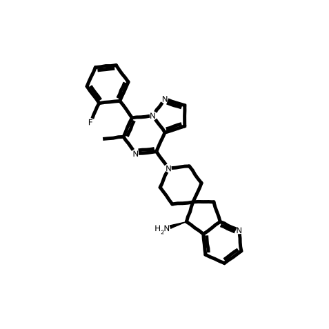 Cc1nc(N2CCC3(CC2)Cc2ncccc2[C@H]3N)c2ccnn2c1-c1ccccc1F